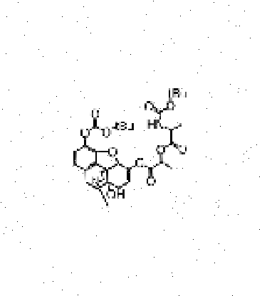 CC(NC(=O)OC(C)(C)C)C(=O)OC(C)C(=O)OC1=CCC2(O)C3Cc4ccc(OC(=O)OC(C)(C)C)c5c4C2(CCN3C)C1O5